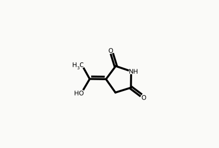 CC(O)=C1CC(=O)NC1=O